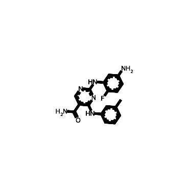 Cc1cccc(Nc2nc(Nc3cc(N)ccc3F)ncc2C(N)=O)c1